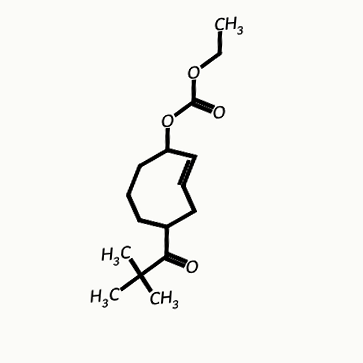 CCOC(=O)OC1/C=C/CC(C(=O)C(C)(C)C)CCC1